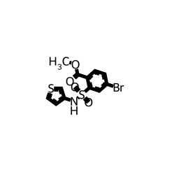 COC(=O)c1ccc(Br)cc1S(=O)(=O)Nc1ccsc1